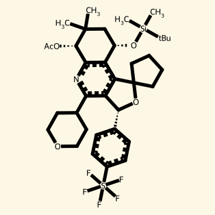 CC(=O)O[C@H]1c2nc(C3CCOCC3)c3c(c2[C@@H](O[Si](C)(C)C(C)(C)C)CC1(C)C)C1(CCCC1)O[C@@H]3c1ccc(S(F)(F)(F)(F)F)cc1